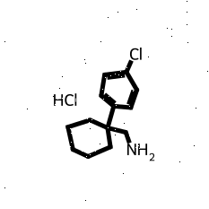 Cl.NCC1(c2ccc(Cl)cc2)CCCCC1